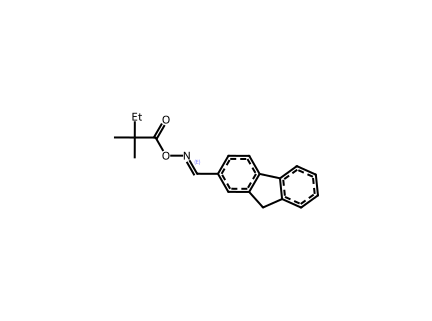 CCC(C)(C)C(=O)O/N=C/c1ccc2c(c1)Cc1ccccc1-2